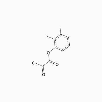 Cc1cccc(OC(=O)C(=O)Cl)c1C